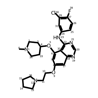 CN1CCC(Oc2cc(OCCN3CCCC3)cc3ncnc(Nc4ccc(F)c(Cl)c4)c23)CC1